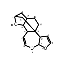 C1=CC2C(O1)OC=CC1C3OC4CC3CCC21C4